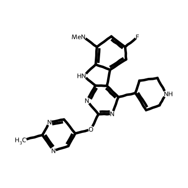 CNc1cc(F)cc2c1[nH]c1nc(Oc3cnc(C)nc3)nc(C3=CCNCC3)c12